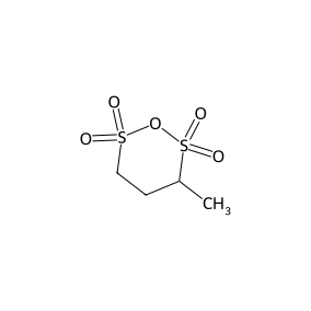 CC1CCS(=O)(=O)OS1(=O)=O